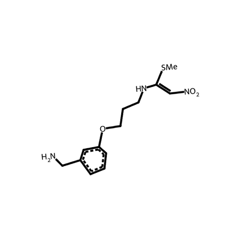 CSC(=C[N+](=O)[O-])NCCCOc1cccc(CN)c1